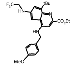 CCOC(=O)c1cc(NCc2ccc(OC)cc2)c2cc(NCC(F)(F)F)cc(C(C)(C)C)c2n1